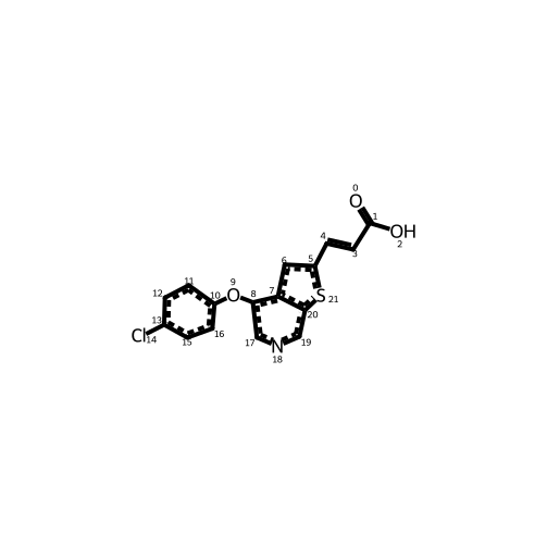 O=C(O)C=Cc1cc2c(Oc3ccc(Cl)cc3)cncc2s1